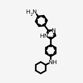 Nc1ccc(-c2ncc(-c3ccc(NC4CCCCC4)cc3)[nH]2)cc1